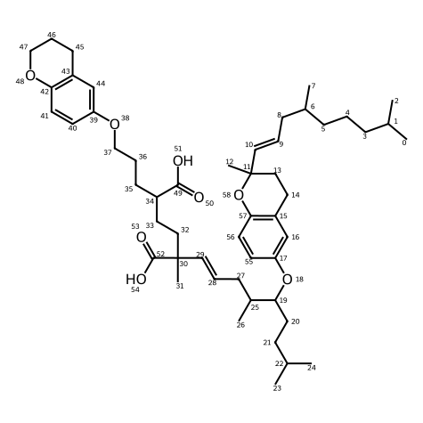 CC(C)CCCC(C)CC=CC1(C)CCc2cc(OC(CCC(C)C)C(C)CC=CC(C)(CCC(CCCOc3ccc4c(c3)CCCO4)C(=O)O)C(=O)O)ccc2O1